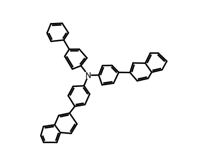 c1ccc(-c2ccc(N(c3ccc(-c4ccc5ccccc5c4)cc3)c3ccc(-c4ccc5ccccc5c4)cc3)cc2)cc1